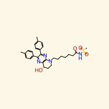 Cc1ccc(-c2nc3c(nc2-c2ccc(C)cc2)N(CCCCCCC(=O)NS(C)(=O)=O)CC[C@@H]3O)cc1